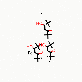 CC(C)(C)C(=O)/C=C(/O)C(C)(C)C.CC(C)(C)C(=O)/C=C(/O)C(C)(C)C.CC(C)(C)C(=O)/C=C(/O)C(C)(C)C.[Fe]